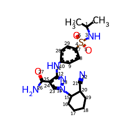 CC(C)NS(=O)(=O)c1ccc(Nc2nn(C3CCCCC3C#N)cc2C(N)=O)cc1